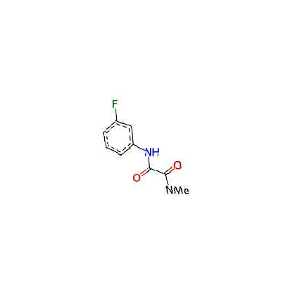 CNC(=O)C(=O)Nc1cccc(F)c1